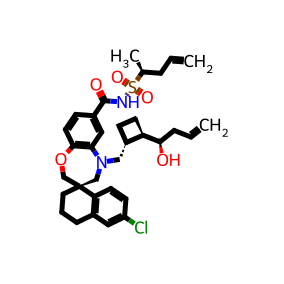 C=CC[C@@H](O)[C@@H]1CC[C@H]1CN1C[C@@]2(CCCc3cc(Cl)ccc32)COc2ccc(C(=O)NS(=O)(=O)[C@@H](C)CC=C)cc21